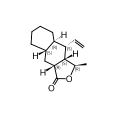 C=C[C@H]1[C@@H]2CCCC[C@H]2C[C@H]2C(=O)O[C@H](C)[C@@H]12